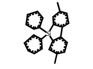 Cc1ccc2c(c1)[Si](c1ccccc1)(c1ccccc1)c1cc(C)ccc1-2